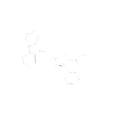 COC(=O)[C@@H](O)[C@H](NC(=O)OCC1c2ccccc2-c2ccccc21)c1ccccc1